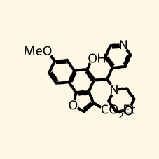 CCOC(=O)c1coc2c1c(C(c1ccncc1)N1CCOCC1)c(O)c1cc(OC)ccc12